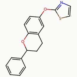 [c]1cnc(Oc2ccc3c(c2)CCC(c2ccccc2)O3)s1